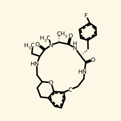 CCC1NCC2CCc3cccc(c3O2)CCCNC(=O)[C@@H](Cc2ccc(F)cc2)NC(=O)[C@@H](C)N(C)C1=O